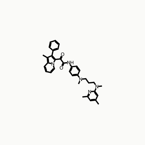 Cc1cc(C)nc(N(C)CCCN(C)c2ccc(NC(=O)C(=O)c3c(-c4ccccc4)c(C)c4ccccn34)cc2)c1